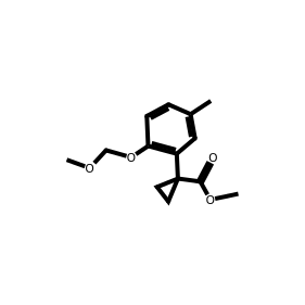 COCOc1ccc(C)cc1C1(C(=O)OC)CC1